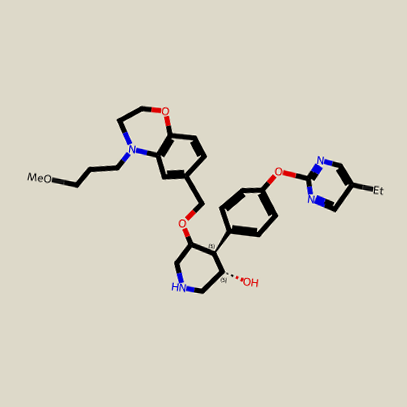 CCc1cnc(Oc2ccc([C@@H]3C(OCc4ccc5c(c4)N(CCCOC)CCO5)CNC[C@H]3O)cc2)nc1